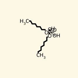 CCCCCCCCOP(=O)(OCCCCCCCC)[PH](=O)O